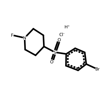 O=S(=O)(c1ccc(Br)cc1)C1CCN(F)CC1.[Cl-].[H+]